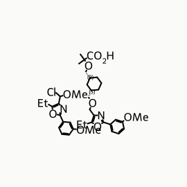 CCc1oc(-c2cccc(OC)c2)nc1C(Cl)OC.CCc1oc(-c2cccc(OC)c2)nc1COC[C@H]1CCC[C@@H](COC(C)(C)C(=O)O)C1